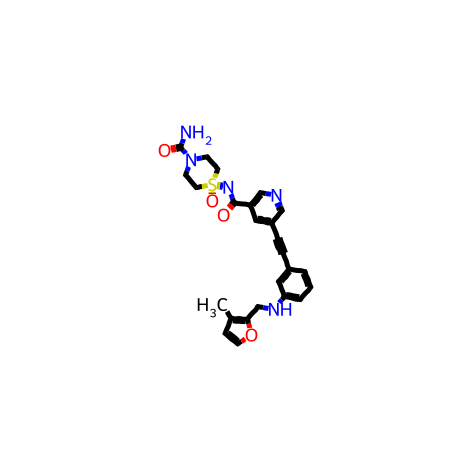 Cc1ccoc1CNc1cccc(C#Cc2cncc(C(=O)N=S3(=O)CCN(C(N)=O)CC3)c2)c1